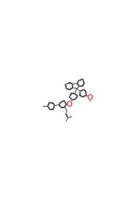 COc1ccc(C2(c3ccc(Oc4ccc(-c5ccc(C)cc5)cc4CC=C(C)C)cc3)c3ccccc3-c3ccccc32)cc1